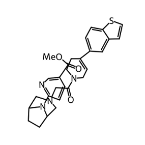 COC(=O)c1ccc(N2C3CCC2CN(CC(=O)N2CC=C(c4ccc5sccc5c4)CC2)C3)nc1